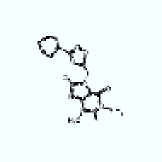 Cn1c(=O)c2c(nc(Cl)n2Cc2nc(-c3ccccc3)no2)n(C)c1=O